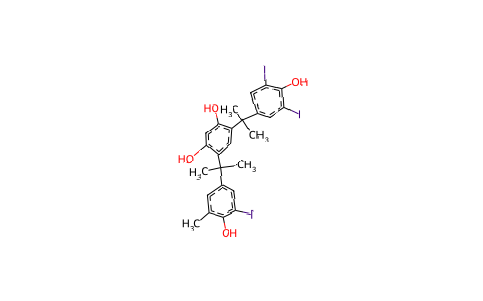 Cc1cc(C(C)(C)c2cc(C(C)(C)c3cc(I)c(O)c(I)c3)c(O)cc2O)cc(I)c1O